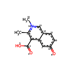 Cc1c(C(=O)O)c2cc(=O)ccc-2cn1C